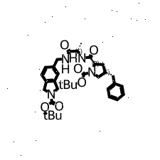 C[C@H](NC(=O)[C@H]1C[C@H](Cc2ccccc2)CN1C(=O)OC(C)(C)C)C(=O)NCc1ccc2c(c1)CN(C(=O)OC(C)(C)C)C2